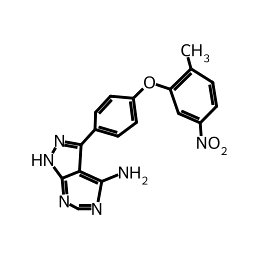 Cc1ccc([N+](=O)[O-])cc1Oc1ccc(-c2n[nH]c3ncnc(N)c23)cc1